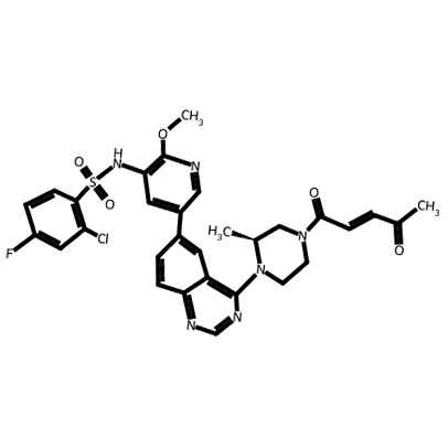 COc1ncc(-c2ccc3ncnc(N4CCN(C(=O)/C=C/C(C)=O)C[C@@H]4C)c3c2)cc1NS(=O)(=O)c1ccc(F)cc1Cl